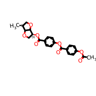 CC(=O)Oc1ccc(C(=O)Oc2ccc(C(=O)O[C@H]3COC4C3OC[C@@H]4C)cc2)cc1